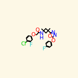 CC1(NC(=O)COc2ccc(Cl)c(F)c2)CC(C)(c2nnc(Oc3ccc(F)cc3)o2)C1